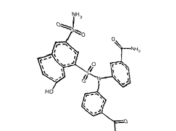 NC(=O)c1cccc(N(c2cccc(C(N)=O)c2)S(=O)(=O)c2cc(S(N)(=O)=O)cc3ccc(O)cc23)c1